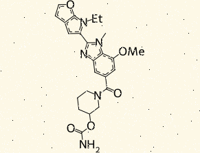 CCn1c(-c2nc3cc(C(=O)N4CCCC(OC(N)=O)C4)cc(OC)c3n2C)cc2ccoc21